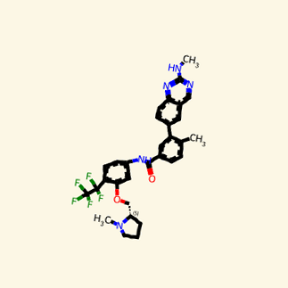 CNc1ncc2cc(-c3cc(C(=O)Nc4ccc(C(F)(F)C(F)(F)F)c(OC[C@@H]5CCCN5C)c4)ccc3C)ccc2n1